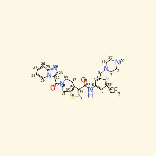 CN1CCN(Cc2cc(NC(=O)c3csc4c3CCN(C(=O)c3cnc5ccccn35)C4)cc(C(F)(F)F)c2)CC1